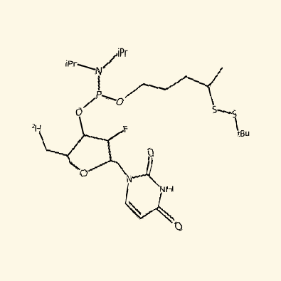 [2H]CC1OC(n2ccc(=O)[nH]c2=O)C(F)C1OP(OCCCC(C)SSC(C)(C)C)N(C(C)C)C(C)C